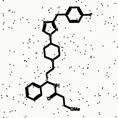 COCCC(=O)N[C@@H](CCN1CCC(n2cnc(Cc3ccc(F)cc3)n2)CC1)c1ccccc1